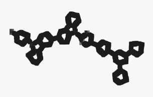 Fc1ccc(-n2c3ccccc3c3cc(-c4ccc5c(c4)c4ccccc4n5-c4ncc(-c5ccc(-c6cc(-c7ccccc7)cc(-c7ccccc7)c6)cc5)cn4)ccc32)cc1